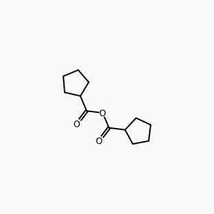 O=C(OC(=O)C1CCCC1)C1CCCC1